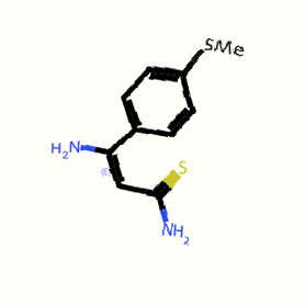 CSc1ccc(/C(N)=C\C(N)=S)cc1